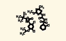 CC(C)Oc1cc(-n2nc(C(C)(C)C)oc2=O)c(Cl)cc1Cl.COc1nc(C)nc(NC(=O)NS(=O)(=O)c2ccccc2Cl)n1